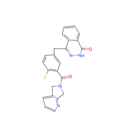 O=C(c1cc(Cc2n[nH]c(=O)c3ccccc23)ccc1F)N1Cc2cccnc2C1